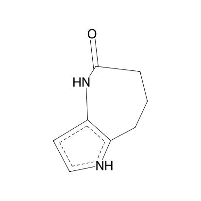 O=C1CCCc2[nH]ccc2N1